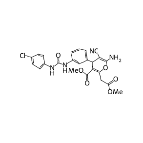 COC(=O)CC1=C(C(=O)OC)C(c2cccc(NC(=O)Nc3ccc(Cl)cc3)c2)C(C#N)=C(N)O1